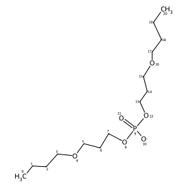 CCCCOCCCOP([O])(=O)OCCCOCCCC